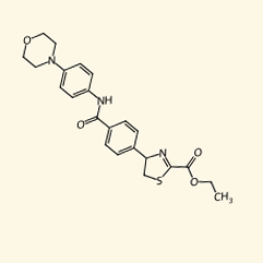 CCOC(=O)C1=NC(c2ccc(C(=O)Nc3ccc(N4CCOCC4)cc3)cc2)CS1